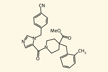 COC(=O)C1(Cc2ccccc2C)CCN(C(=O)c2cncn2Cc2ccc(C#N)cc2)CC1